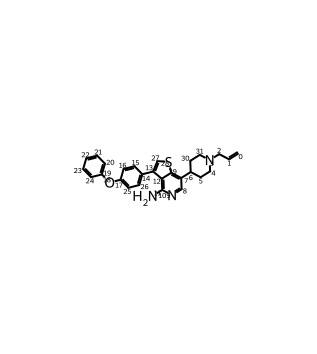 C=CCN1CCC(c2cnc(N)c3c(-c4ccc(Oc5ccccc5)cc4)csc23)CC1